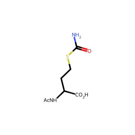 CC(=O)NC(CCSC(N)=O)C(=O)O